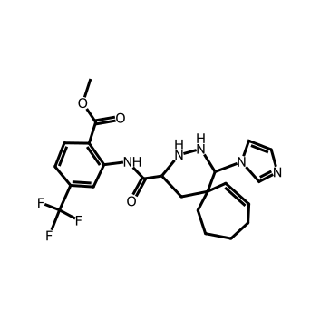 COC(=O)c1ccc(C(F)(F)F)cc1NC(=O)C1CC2(C=CCCCC2)C(n2ccnc2)NN1